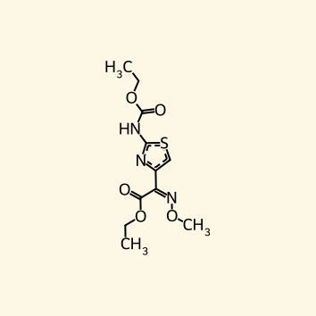 CCOC(=O)Nc1nc(C(=NOC)C(=O)OCC)cs1